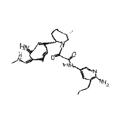 CCc1cc(NC(=O)C(=O)N2C[C@@H](C)CC[C@@H]2C2=CC(=N)/C(=C\NC)C=C2)cnc1N